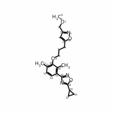 COCc1cc(CCCOc2c(C)ccc(-c3noc(C4CC4)n3)c2C)on1